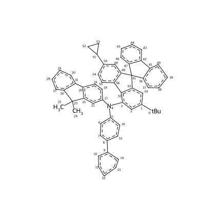 CC(C)(C)c1cc(N(c2ccc(-c3ccccc3)cc2)c2ccc3c(c2)C(C)(C)c2ccccc2-3)c2c(c1)C1(c3ccccc3-c3ccccc31)c1cc(C3CC3)ccc1-2